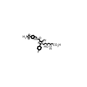 CC(C)c1c(C(=O)NCc2ccc(S(N)(=O)=O)cc2)nc(-c2ccc(F)cc2)n1CC[C@@H](O)C[C@@H](O)CC(=O)O